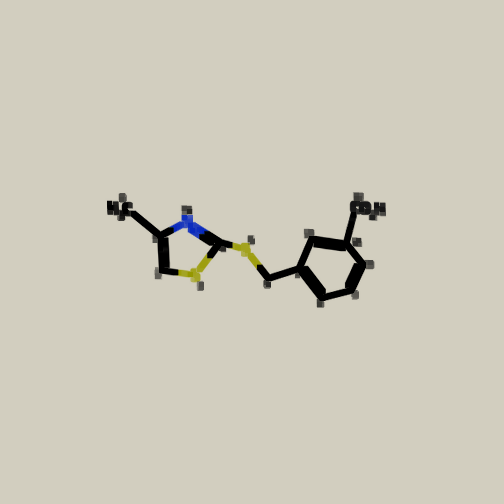 Cc1[c]sc(SCc2cccc(C(=O)O)c2)n1